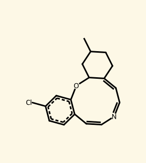 CC1CCC2=CC=NC=Cc3ccc(Cl)cc3OC2C1